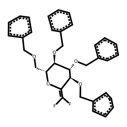 FC(F)=C1O[C@H](COCc2ccccc2)[C@@H](OCc2ccccc2)[C@H](OCc2ccccc2)[C@H]1OCc1ccccc1